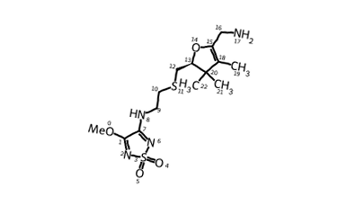 COC1=NS(=O)(=O)N=C1NCCSC[C@H]1OC(CN)=C(C)C1(C)C